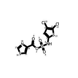 O=C(OS(=O)(=O)Nc1cc(Cl)c(Cl)s1)c1cscn1